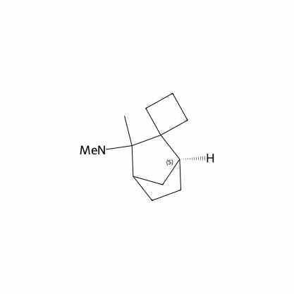 CNC1(C)C2CC[C@@H](C2)C12CCC2